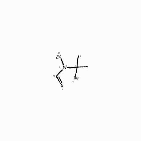 CCN([C]=S)C(C)(C)C(C)C